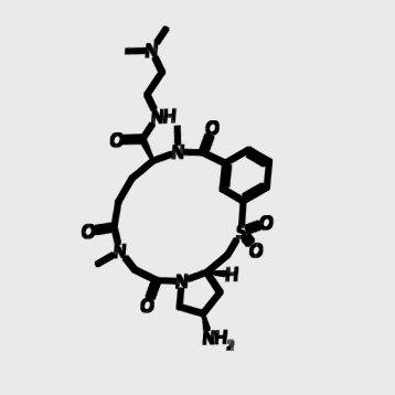 CN(C)CCNC(=O)[C@@H]1CCC(=O)N(C)CC(=O)N2C[C@H](N)C[C@H]2CS(=O)(=O)c2cccc(c2)C(=O)N1C